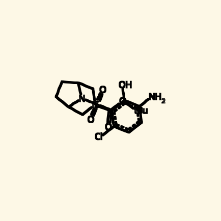 CC(C)(C)OC(=O)N1CC2CCC(C1)N2S(=O)(=O)c1c(Cl)ccc(N)c1O